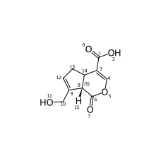 O=C(O)C1=COC(=O)[C@@H]2C(CO)=CCC12